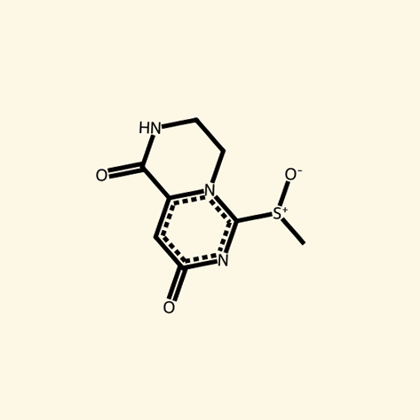 C[S+]([O-])c1nc(=O)cc2n1CCNC2=O